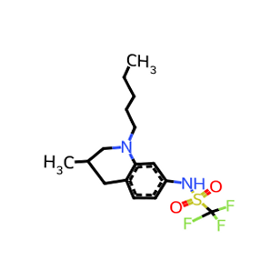 CCCCCN1CC(C)Cc2ccc(NS(=O)(=O)C(F)(F)F)cc21